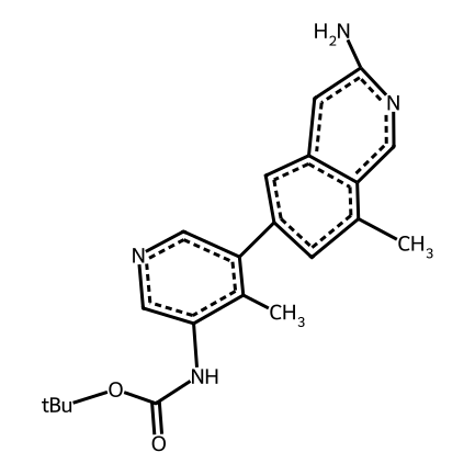 Cc1c(NC(=O)OC(C)(C)C)cncc1-c1cc(C)c2cnc(N)cc2c1